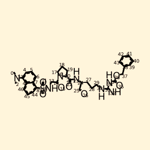 CN(C)c1cccc2c(S(=O)(=O)NCC(=O)N3CCC[C@H]3C(=O)N[C@H](C=O)CCCNC(=N)NC(=O)OCc3ccccc3)cccc12